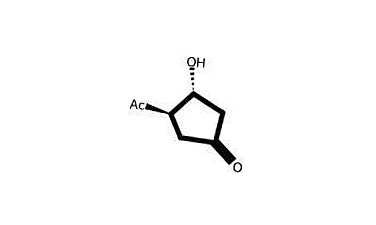 CC(=O)[C@@H]1CC(=O)C[C@H]1O